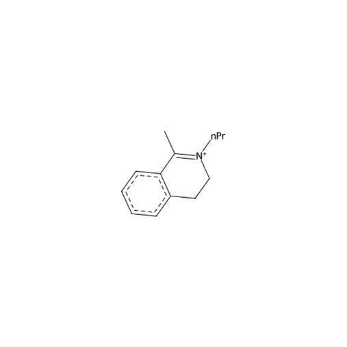 CCC[N+]1=C(C)c2ccccc2CC1